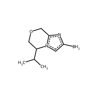 Bc1cn2c(n1)COCC2C(C)C